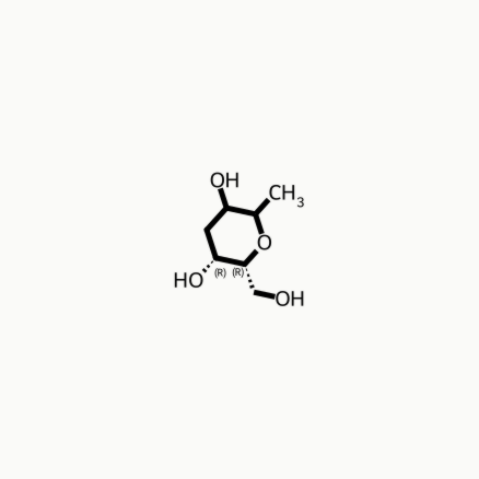 CC1O[C@H](CO)[C@H](O)CC1O